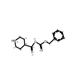 O=C(OCc1ccccc1)OC(=O)C1CCNCC1